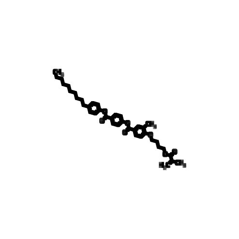 C=C(C)C(=O)OCCCCOc1ccc(C(=O)Oc2ccc(C(=O)Oc3ccc(CCCCCCCCCC)cc3)cc2)cc1C